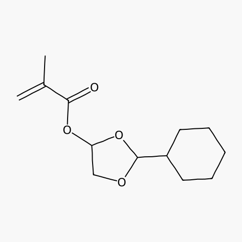 C=C(C)C(=O)OC1COC(C2CCCCC2)O1